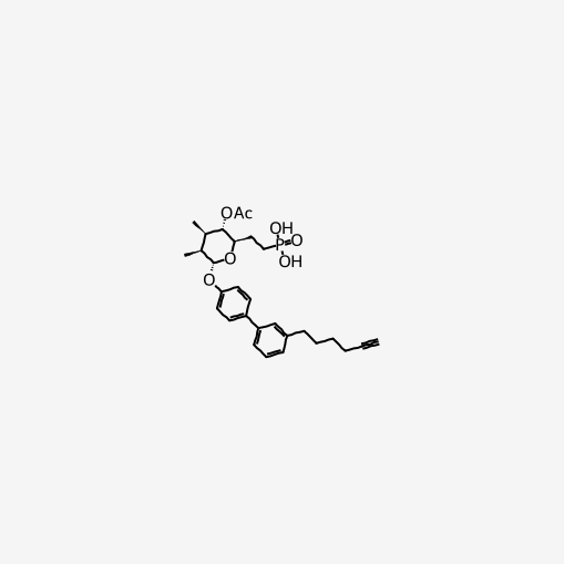 C#CCCCCc1cccc(-c2ccc(O[C@H]3O[C@H](CCP(=O)(O)O)[C@@H](OC(C)=O)[C@H](C)[C@@H]3C)cc2)c1